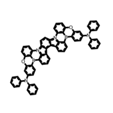 c1ccc(N(c2ccccc2)c2ccc3c(c2)Oc2cccc4c2B3c2cccc3c5c6c7cccc8c7n(c6ccc5n-4c23)-c2cccc3c2B8c2ccc(N(c4ccccc4)c4ccccc4)cc2O3)cc1